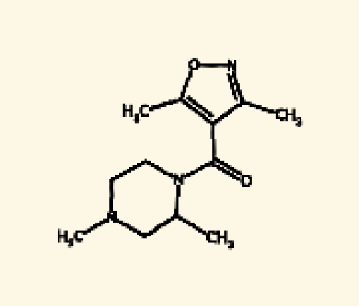 Cc1noc(C)c1C(=O)N1CCN(C)CC1C